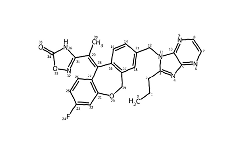 CCCc1nc2nccnc2n1Cc1ccc2c(c1)COc1cc(F)ccc1C2=C(C)c1noc(=O)[nH]1